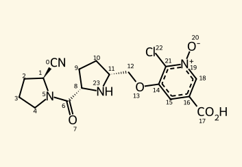 N#C[C@@H]1CCCN1C(=O)[C@@H]1CC[C@H](COc2cc(C(=O)O)c[n+]([O-])c2Cl)N1